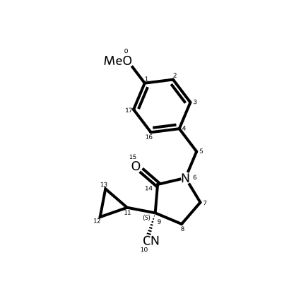 COc1ccc(CN2CC[C@@](C#N)(C3CC3)C2=O)cc1